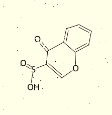 O=c1c(S(=O)O)coc2ccccc12